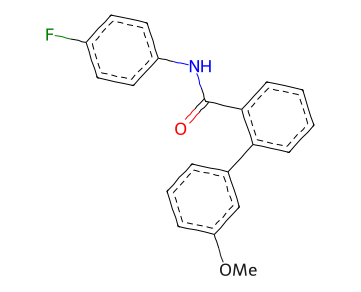 COc1cccc(-c2ccccc2C(=O)Nc2ccc(F)cc2)c1